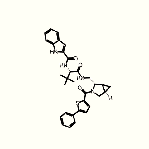 CC(C)(C)[C@H](NC(=O)c1cc2ccccc2[nH]1)C(=O)NC[C@@H]1C2C[C@H]2CN1C(=O)c1ccc(-c2ccccc2)s1